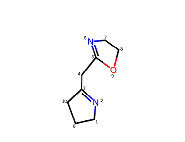 C1CN=C(CC2=NCCO2)C1